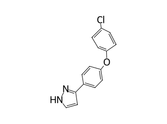 Clc1ccc(Oc2ccc(-c3cc[nH]n3)cc2)cc1